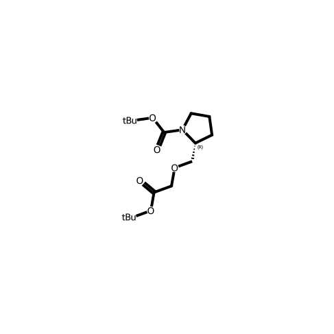 CC(C)(C)OC(=O)COC[C@H]1CCCN1C(=O)OC(C)(C)C